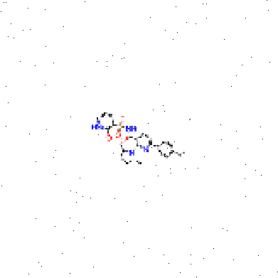 CC(C)c1ccc(-c2ccc(C(=O)NS(=O)(=O)c3ccc[nH]c3=O)c(N3[C@H](C)CC[C@@H]3C)n2)cc1